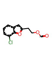 O=[C]OCCc1cc2cccc(Cl)c2o1